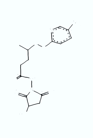 CC(CCC(=O)ON1C(=O)CC(S(=O)(=O)O)C1=O)SSc1ccc([N+](=O)[O-])cn1